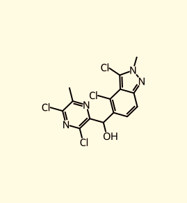 Cc1nc(C(O)c2ccc3nn(C)c(Cl)c3c2Cl)c(Cl)nc1Cl